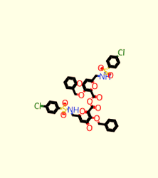 O=C(OC(=O)c1oc(CNS(=O)(=O)c2ccc(Cl)cc2)cc(=O)c1OCc1ccccc1)c1oc(CNS(=O)(=O)c2ccc(Cl)cc2)cc(=O)c1OCc1ccccc1